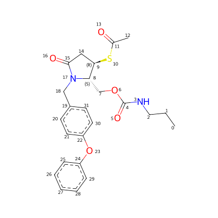 CCCNC(=O)OC[C@H]1[C@H](SC(C)=O)CC(=O)N1Cc1ccc(Oc2ccccc2)cc1